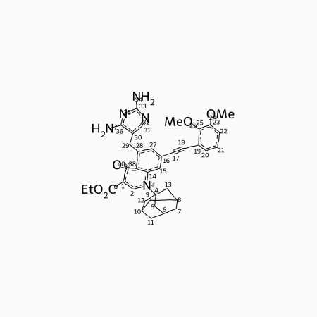 CCOC(=O)c1cn(C23CC4CC(CC(C4)C2)C3)c2cc(C#Cc3cccc(OC)c3OC)cc(Cc3cnc(N)nc3N)c2c1=O